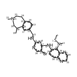 CSN(C)c1c(Nc2nc(NCc3ccc4c(c3)C(C)CN(C)CC4)ncc2Br)ccc2nccnc12